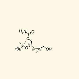 CC(C)(C)[Si](C)(C)O[C@@H](COC(N)=O)[C@H]1C[C@@H]1CO